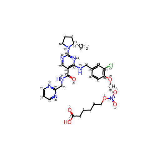 O=C(O)CCCCCO[N+](=O)[O-].[CH2][C@H]1CCCN1c1ncc(C(=O)NCc2ncccn2)c(NCc2ccc(OC)c(Cl)c2)n1